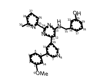 COc1cccc(-c2cncc(-c3cc(NCc4cccc(O)c4)nc(-c4cccc(C)n4)n3)c2)c1